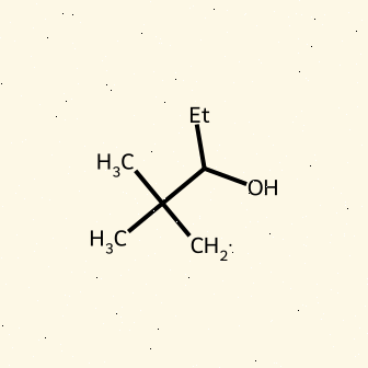 [CH2]C(C)(C)C(O)CC